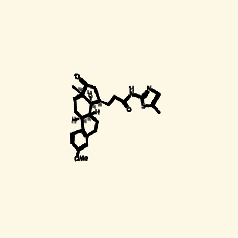 COc1ccc2c(c1)CC[C@H]1[C@@H]3[C@H](CCC(=O)Nc4ncc(C)s4)CC(=O)[C@@]3(C)CC[C@H]21